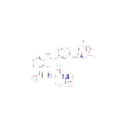 CC1CN(Cc2cccc(COc3cccc(C=O)c3CNC3CCC(=O)NC3=O)c2I)CC(C)O1